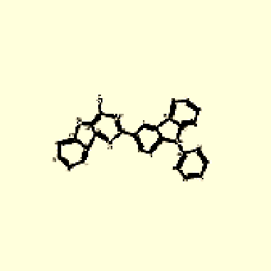 Clc1nc(-c2ccc3c(c2)c2ccccc2n3-c2ccccc2)nc2c1sc1ccccc12